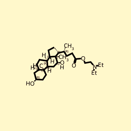 CCN(CC)CCOC(=O)CC[C@@H](C)[C@H]1CC[C@H]2[C@@H]3CC[C@@H]4C[C@H](O)CC[C@]4(C)[C@H]3C[C@H](O)[C@]12C